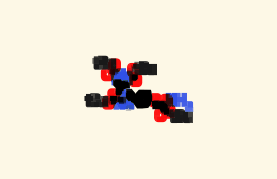 Cn1c(-c2ccc(OCC(ON)C(=O)OC(C)(C)C)cc2)cn(CC(CNC(=O)OC(C)(C)C)CNC(=O)OC(C)(C)C)/c1=N\C(=O)OC(C)(C)C